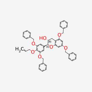 C=CCOc1c(OCc2ccccc2)cc([C@@H]2Oc3cc(OCc4ccccc4)cc(OCc4ccccc4)c3C[C@H]2O)cc1OCc1ccccc1